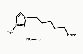 CCCCCCCCCCCCCCn1cc[n+](C)c1.N#C[S-]